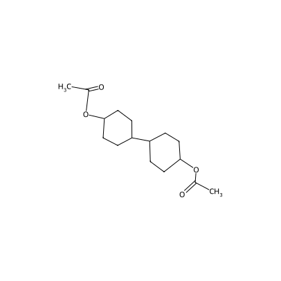 CC(=O)OC1CCC(C2CCC(OC(C)=O)CC2)CC1